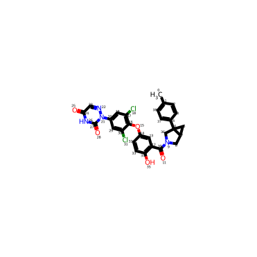 Cc1ccc(C23CC2CN(C(=O)c2cc(Oc4c(Cl)cc(-n5ncc(=O)[nH]c5=O)cc4Cl)ccc2O)C3)cc1